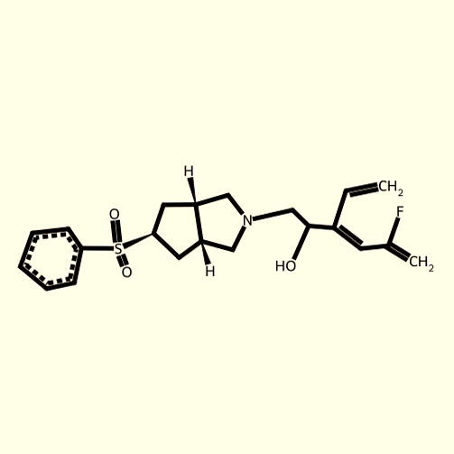 C=C/C(=C\C(=C)F)C(O)CN1C[C@H]2C[C@H](S(=O)(=O)c3ccccc3)C[C@H]2C1